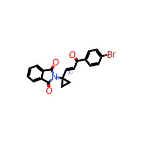 O=C(/C=C/C1(N2C(=O)c3ccccc3C2=O)CC1)c1ccc(Br)cc1